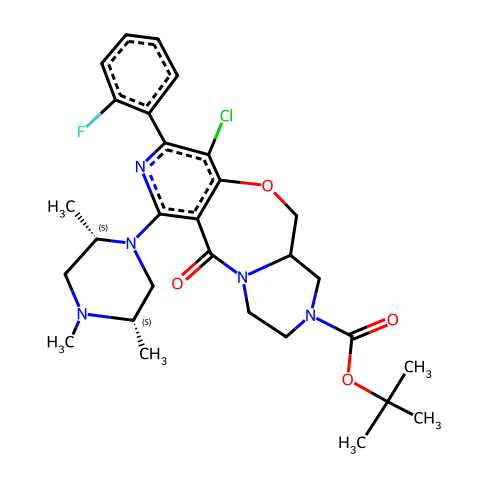 C[C@H]1CN(c2nc(-c3ccccc3F)c(Cl)c3c2C(=O)N2CCN(C(=O)OC(C)(C)C)CC2CO3)[C@@H](C)CN1C